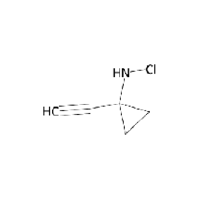 C#CC1(NCl)CC1